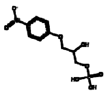 O=[N+]([O-])c1ccc(OCC(O)COP(=O)(O)O)cc1